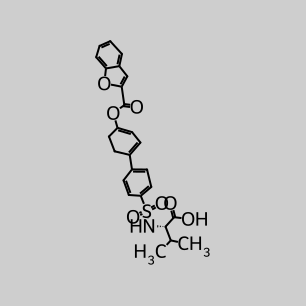 CC(C)[C@H](NS(=O)(=O)c1ccc(C2=CC=C(OC(=O)c3cc4ccccc4o3)CC2)cc1)C(=O)O